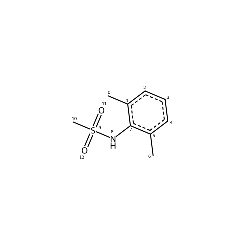 Cc1cccc(C)c1NS(C)(=O)=O